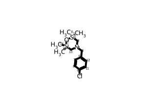 C[Si]1(C)CN(Cc2ccc(Cl)cc2)C[Si](C)(C)O1